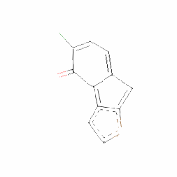 O=C1C(F)=CC=C2C=c3sccc3=C12